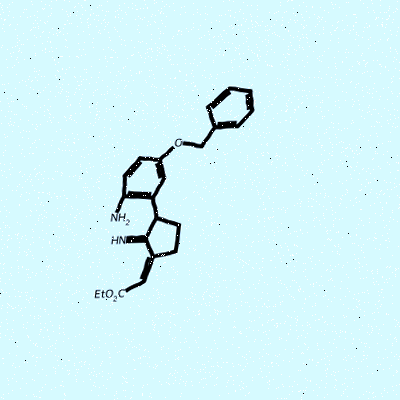 CCOC(=O)C=C1CCC(c2cc(OCc3ccccc3)ccc2N)C1=N